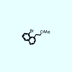 COCCc1cccc2cccc(Br)c12